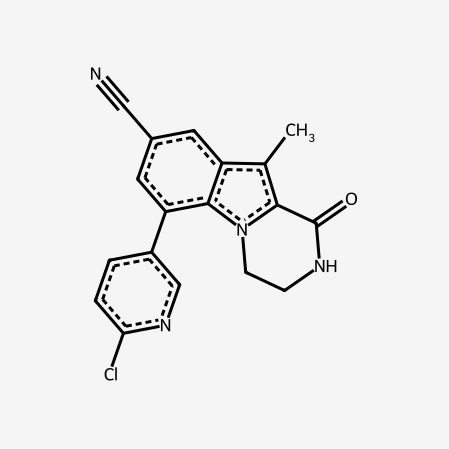 Cc1c2n(c3c(-c4ccc(Cl)nc4)cc(C#N)cc13)CCNC2=O